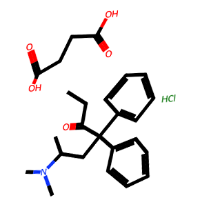 CCC(=O)C(CC(C)N(C)C)(c1ccccc1)c1ccccc1.Cl.O=C(O)CCC(=O)O